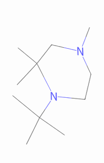 CN1CCN(C(C)(C)C)C(C)(C)C1